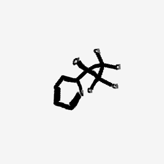 ClC1(Cl)C(Cl)(Cl)C1(Cl)c1ccccn1